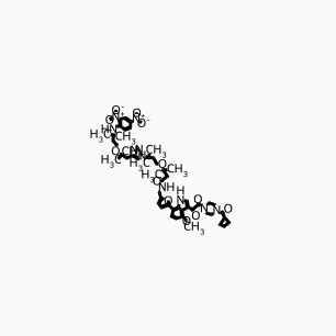 COc1ccc(-c2ccc(CNC(=O)CC(C)(C)OCCC(C)(C)n3cc(CC(C)(C)OCCC(C)(C)Nc4ccc([N+](=O)[O-])cc4[N+](=O)[O-])nn3)o2)c2[nH]cc(C(=O)C(=O)N3CCN(C(=O)C4CCC4)CC3)c12